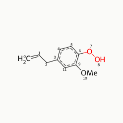 C=CCc1ccc(OO)c(OC)c1